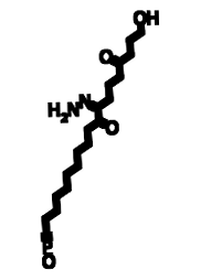 NN=C(CCCC(=O)CCCO)C(=O)CCCCCCCCCC#P=O